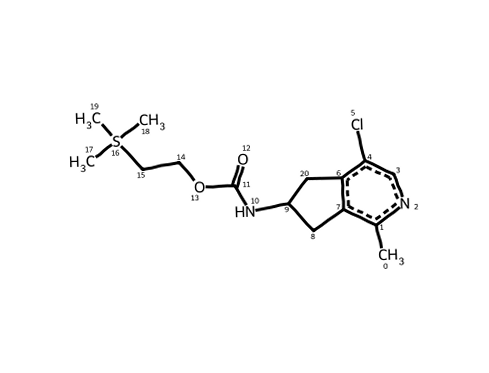 Cc1ncc(Cl)c2c1CC(NC(=O)OCCS(C)(C)C)C2